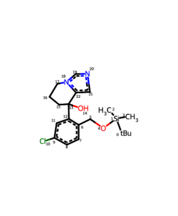 CC(C)(C)[Si](C)(C)OCc1ccc(Cl)cc1C1(O)CCCn2cncc21